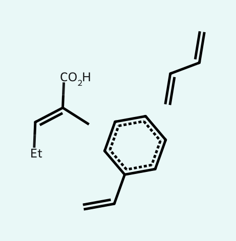 C=CC=C.C=Cc1ccccc1.CC/C=C(\C)C(=O)O